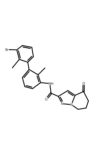 Cc1c(Br)cccc1-c1cccc(NC(=O)c2cc3n(n2)CCCC3=O)c1C